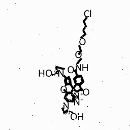 [N-]=[N+]=C1C(=O)c2ccc(C(=O)NCCOCCOCCCCCCCl)cc2C12c1ccc(N3CC[C@@H]3CO)cc1Oc1cc(N3CC[C@@H]3CO)ccc12